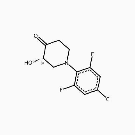 O=C1CCN(c2c(F)cc(Cl)cc2F)C[C@@H]1O